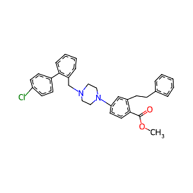 COC(=O)c1ccc(N2CCN(Cc3ccccc3-c3ccc(Cl)cc3)CC2)cc1CCc1ccccc1